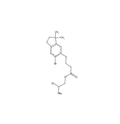 CCCCC(CC)COC(=O)CCSc1cc2c(cc1Br)CCC2(C)C